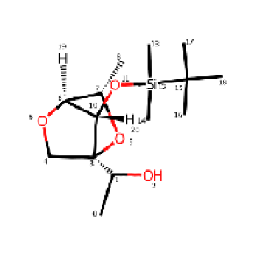 CC(O)[C@@]12CO[C@@H]([C@H](C)O1)[C@@H]2O[Si](C)(C)C(C)(C)C